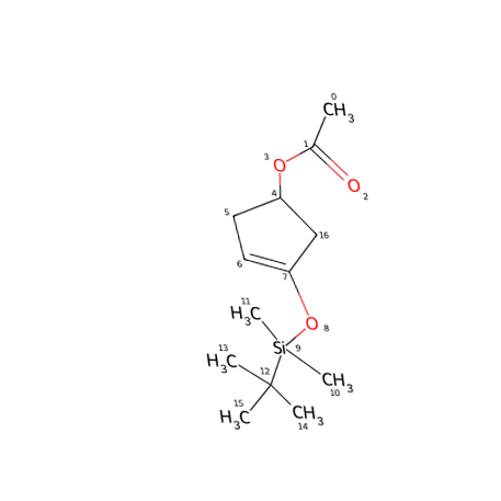 CC(=O)OC1CC=C(O[Si](C)(C)C(C)(C)C)C1